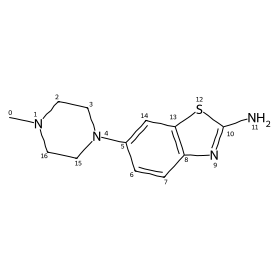 CN1CCN(c2ccc3nc(N)sc3c2)CC1